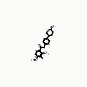 CCCC1CCC(c2ccc(CC(=O)c3ccc(OCC)c(F)c3C(F)(F)F)cc2)CO1